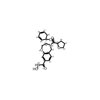 CC1([C@H]2COc3cc(C(=O)NO)ccc3CN2C(=O)C2CCCO2)C=CC=CC1